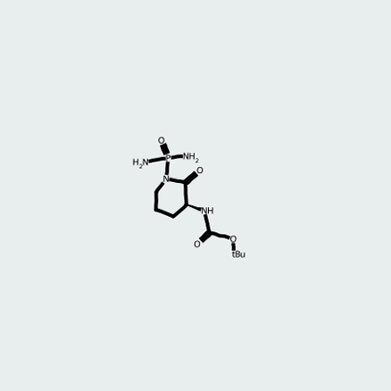 CC(C)(C)OC(=O)N[C@H]1CCCN(P(N)(N)=O)C1=O